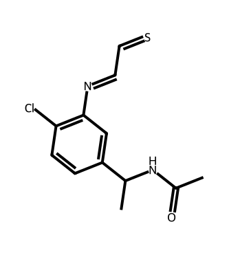 CC(=O)NC(C)c1ccc(Cl)c(N=CC=S)c1